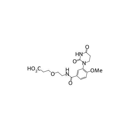 COc1ccc(C(=O)NCCOCCC(=O)O)cc1N1CCC(=O)NC1=O